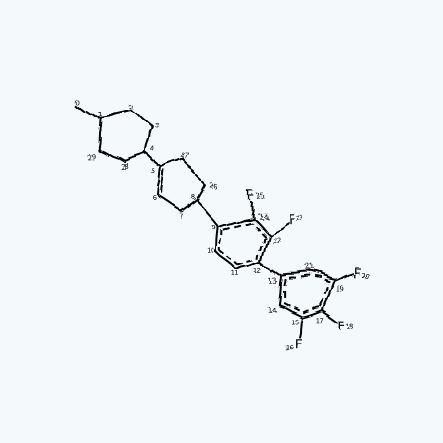 CC1CCC(C2=CCC(c3ccc(-c4cc(F)c(F)c(F)c4)c(F)c3F)CC2)CC1